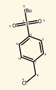 CC(C)(C)S(=O)(=O)c1ccc(CCl)cc1